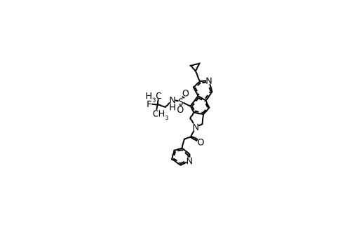 CC(C)(F)CNS(=O)(=O)c1c2c(cc3cnc(C4CC4)cc13)CN(C(=O)Cc1cccnc1)C2